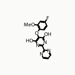 COc1cc(F)ccc1Oc1c(O)nc(-c2ncccn2)nc1O